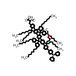 [C-]#[N+]/C(=C\c1ccc2c(c1)C(CCCCCCCC)(CCCCCCCC)c1cc3c(cc1-2)C(c1ccc(CCCCCCCC)cc1)(c1ccc(CCCCCCCC)cc1)c1cc2c(cc1-3)C(c1ccc(CCCCCCCC)cc1)(c1ccc(CCCCCCCC)cc1)c1cc3c(cc1-2)C(CCCCCCCC)(CCCCCCCC)c1cc(-c2ccc(N(c4ccccc4)c4ccccc4)cc2)ccc1-3)C(=O)O